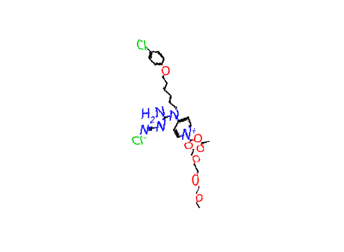 CCOCCOCCOCCOC(OC(C)=O)[n+]1ccc(N(CCCCCCOc2ccc(Cl)cc2)C(N)=NC#N)cc1.[Cl-]